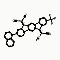 [C-]#[N+]/C(C#N)=C1/c2cc(C(F)(F)F)ccc2-c2cc3c(cc21)-c1ccc(-c2cccc4ccccc24)cc1/C3=C(/C#N)[N+]#[C-]